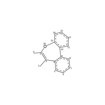 CC1=C(C)c2ccccc2-c2ccccc2O1